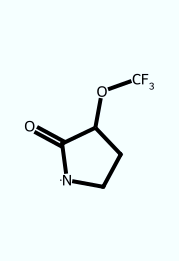 O=C1[N]CCC1OC(F)(F)F